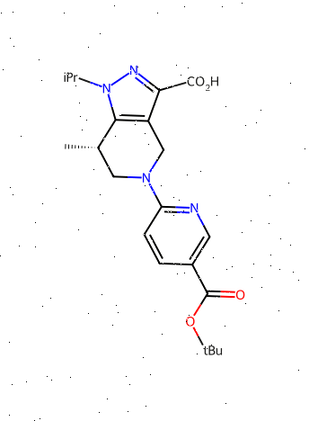 CC(C)n1nc(C(=O)O)c2c1[C@@H](C)CN(c1ccc(C(=O)OC(C)(C)C)cn1)C2